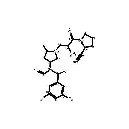 CC1CC(N(C=O)C(C)c2cc(F)cc(F)c2)CN1CC(N)C(=O)N1CCCC1C#N